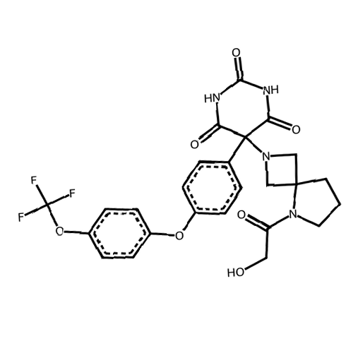 O=C1NC(=O)C(c2ccc(Oc3ccc(OC(F)(F)F)cc3)cc2)(N2CC3(CCCN3C(=O)CO)C2)C(=O)N1